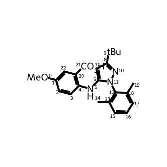 COc1ccc(Nc2cc(C(C)(C)C)nn2-c2c(C)cccc2C)c(C(=O)O)c1